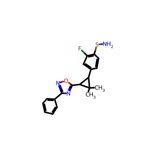 CC1(C)C(c2ccc(SN)c(F)c2)C1c1nc(-c2ccccc2)no1